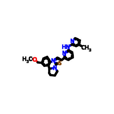 COCc1cccc(C2CCCCN2c2ncc(-c3cccc(Nc4cc(C)ccn4)n3)s2)c1